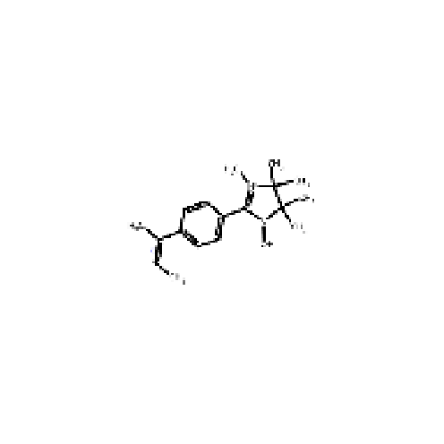 C/C=C(/C)c1ccc(C2=[N+](C)C(C)(C)C(C)(C)N2O)cc1